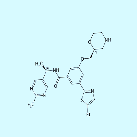 CCc1cnc(-c2cc(OC[C@@H]3CNCCO3)cc(C(=O)N[C@H](C)c3cnc(C(F)(F)F)nc3)c2)s1